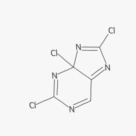 ClC1=NC2(Cl)N=C(Cl)N=C2C=N1